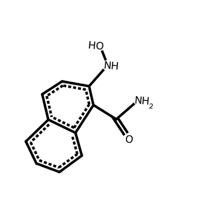 NC(=O)c1c(NO)ccc2ccccc12